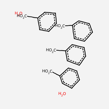 O.O.O=C(O)c1ccccc1.O=C(O)c1ccccc1.O=C(O)c1ccccc1.O=C(O)c1ccccc1